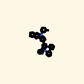 CC1C=C(n2c3ccc(-c4cc5c6c(c4)c4ccccc4n6-c4ccccc4-c4ccccc4-5)cc3c3cc4ccccc4cc32)C=CC1